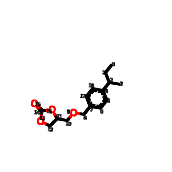 CCC(C)c1ccc(COCC2COC(=O)O2)cc1